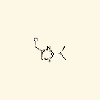 CN(C)c1nc(CCl)ns1